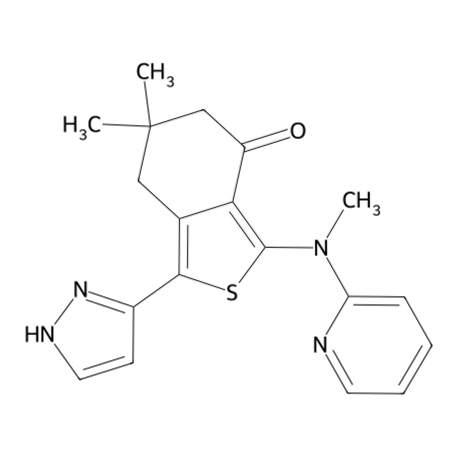 CN(c1ccccn1)c1sc(-c2cc[nH]n2)c2c1C(=O)CC(C)(C)C2